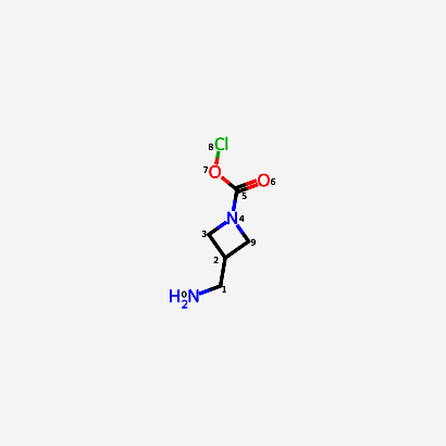 NCC1CN(C(=O)OCl)C1